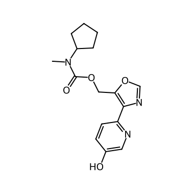 CN(C(=O)OCc1ocnc1-c1ccc(O)cn1)C1CCCC1